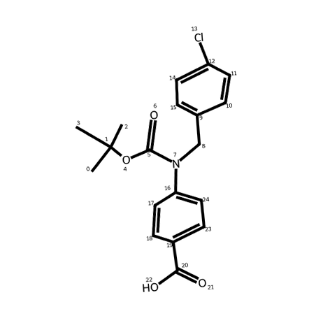 CC(C)(C)OC(=O)N(Cc1ccc(Cl)cc1)c1ccc(C(=O)O)cc1